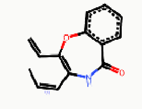 C=CC1=C(/C=C\C)NC(=O)c2ccccc2O1